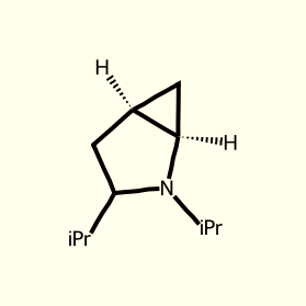 CC(C)C1C[C@H]2C[C@H]2N1C(C)C